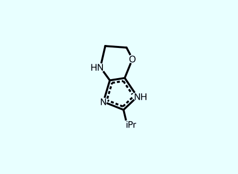 CC(C)c1nc2c([nH]1)OCCN2